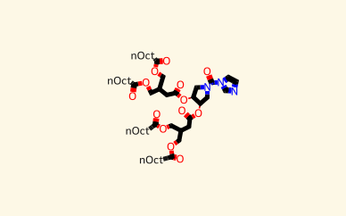 CCCCCCCCC(=O)OCC(COC(=O)CCCCCCCC)CC(=O)O[C@H]1CN(C(=O)n2ccnc2)C[C@H]1OC(=O)CC(COC(=O)CCCCCCCC)COC(=O)CCCCCCCC